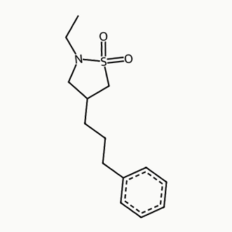 CCN1CC(CCCc2ccccc2)CS1(=O)=O